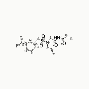 C=CCN(CC(=O)NC(=O)CC)S(=O)(=O)Cc1cccc(C(F)F)c1